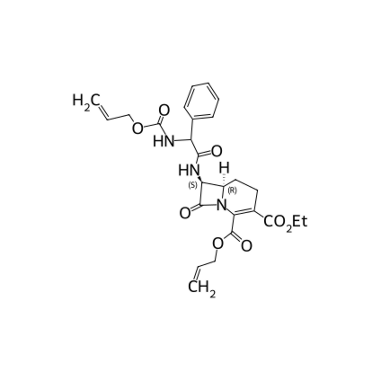 C=CCOC(=O)NC(C(=O)N[C@@H]1C(=O)N2C(C(=O)OCC=C)=C(C(=O)OCC)CC[C@H]12)c1ccccc1